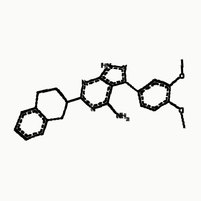 COc1ccc(-c2n[nH]c3nc(C4CCc5ccccc5C4)nc(N)c23)cc1OC